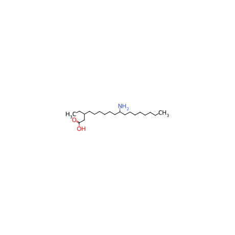 CCCCCCCCC(N)CCCCCCC(CC)CC(=O)O